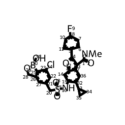 CNC(=O)c1c(-c2ccc(F)cc2)oc2cc(NS(=O)(=O)Cc3cc(Cl)c4c(c3)COB4O)c(C3CC3)cc12